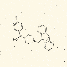 O[C@@H](c1ccc(F)cc1)C1CCN(CC23CC(c4ccccc42)c2ccccc23)CC1